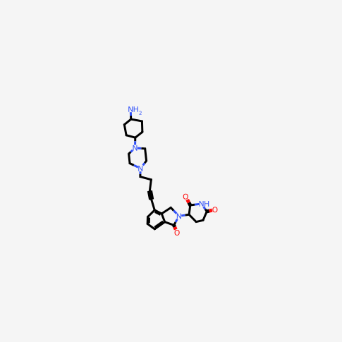 NC1CCC(N2CCN(CCC#Cc3cccc4c3CN(C3CCC(=O)NC3=O)C4=O)CC2)CC1